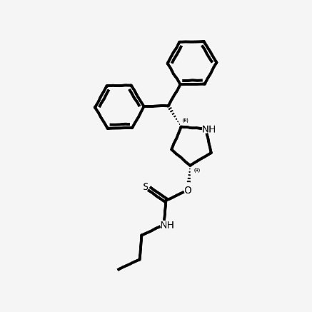 CCCNC(=S)O[C@H]1CN[C@@H](C(c2ccccc2)c2ccccc2)C1